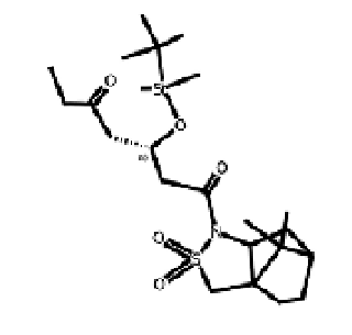 CCC(=O)C[C@@H](CC(=O)N1C2CC3CCC2(CS1(=O)=O)C3(C)C)O[Si](C)(C)C(C)(C)C